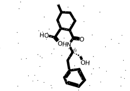 CC1CCC(C(=O)N[C@H](CO)Cc2ccccc2)C(C(=O)O)C1